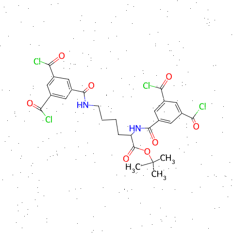 CC(C)(C)OC(=O)C(CCCCNC(=O)c1cc(C(=O)Cl)cc(C(=O)Cl)c1)NC(=O)c1cc(C(=O)Cl)cc(C(=O)Cl)c1